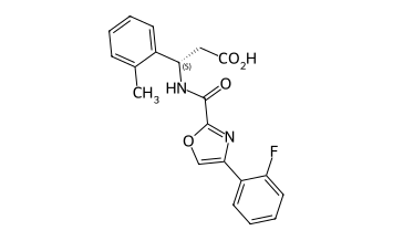 Cc1ccccc1[C@H](CC(=O)O)NC(=O)c1nc(-c2ccccc2F)co1